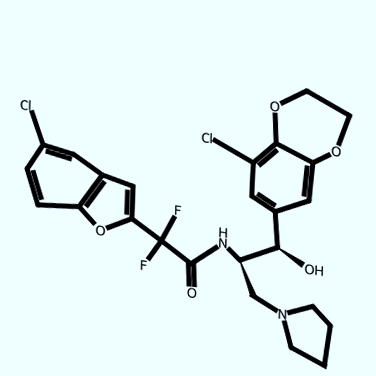 O=C(N[C@H](CN1CCCC1)[C@H](O)c1cc(Cl)c2c(c1)OCCO2)C(F)(F)c1cc2cc(Cl)ccc2o1